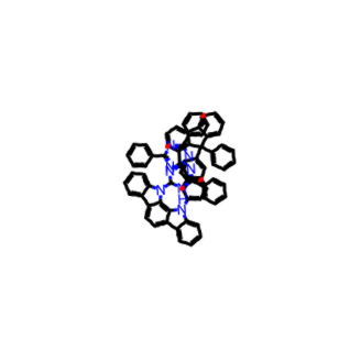 c1ccc(C2=NC(c3cccc4c3C(c3ccccc3)(c3ccccc3)c3ccccc3-4)=NC(n3c4ccccc4c4ccc5c6ccccc6n(-c6cccc(-c7nc(-c8ccccc8)nc(-c8ccccc8)n7)c6)c5c43)N2)cc1